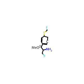 CO[C@H](C1=CCCC(SCF)C=C1)C(N)CF